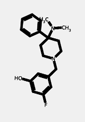 CN(C)C1(c2ccccc2)CCN(Cc2cc(O)cc(F)c2)CC1